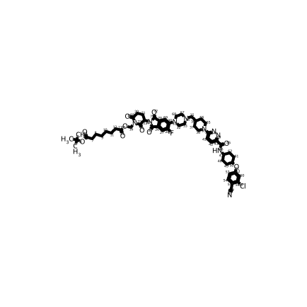 CC(C)(C)OC(=O)CCCCCCC(=O)OCN1C(=O)CCC(N2C(=O)c3cc(F)c(N4CCN(CC5CCN(c6ccc(C(=O)NC7CCC(Oc8ccc(C#N)c(Cl)c8)CC7)nn6)CC5)CC4)cc3C2=O)C1=O